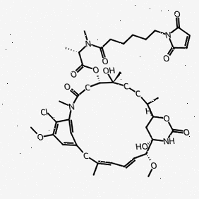 COc1cc2cc(c1Cl)N(C)C(=O)C[C@H](OC(=O)[C@H](C)N(C)C(=O)CCCCCN1C(=O)C=CC1=O)[C@](C)(O)CCC(C)[C@@H]1C[C@@](O)(NC(=O)O1)[C@H](OC)/C=C/C=C(\C)C2